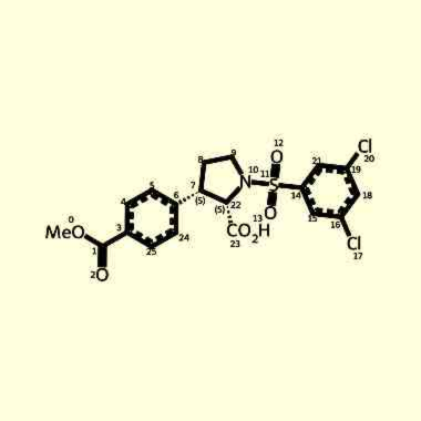 COC(=O)c1ccc([C@@H]2CCN(S(=O)(=O)c3cc(Cl)cc(Cl)c3)[C@@H]2C(=O)O)cc1